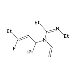 C=CN(/C(CC)=N\CC)C(C=C(F)CC)C(C)C